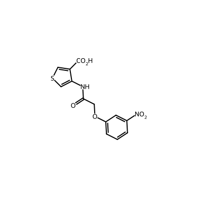 O=C(COc1cccc([N+](=O)[O-])c1)Nc1cscc1C(=O)O